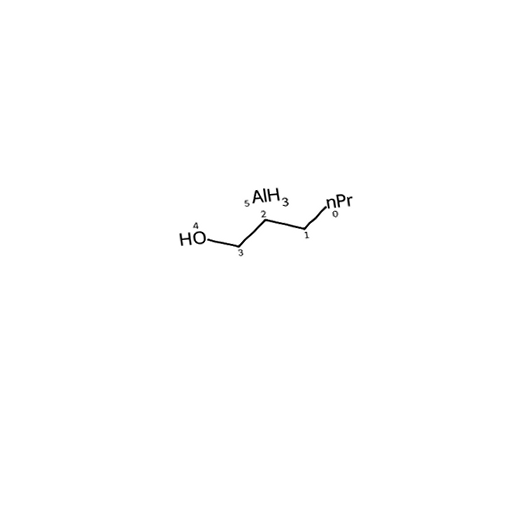 CCCCCCO.[AlH3]